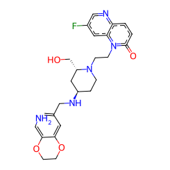 C=C(/C=C1/OCCO/C1=C/N)CN[C@@H]1CCN(CCn2c(=O)ccc3ncc(F)cc32)[C@@H](CO)C1